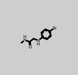 CNC(=O)CNc1ccc(Br)cc1